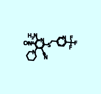 [C-]#[N+]c1c(N)nc(SCc2ccc(C(F)(F)F)nc2)c(C#N)c1N1CCCCC1